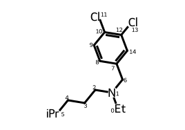 CCN(CCCC(C)C)Cc1ccc(Cl)c(Cl)c1